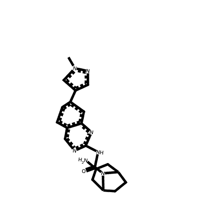 Cn1cc(-c2ccc3cnc(NC(=O)N4C5CCC4CC(N)C5)nc3c2)cn1